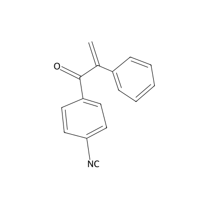 [C-]#[N+]c1ccc(C(=O)C(=C)c2ccccc2)cc1